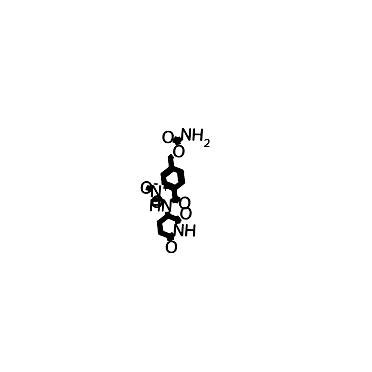 NC(=O)OCc1ccc(C(=O)NC2CCC(=O)NC2=O)c([N+](=O)[O-])c1